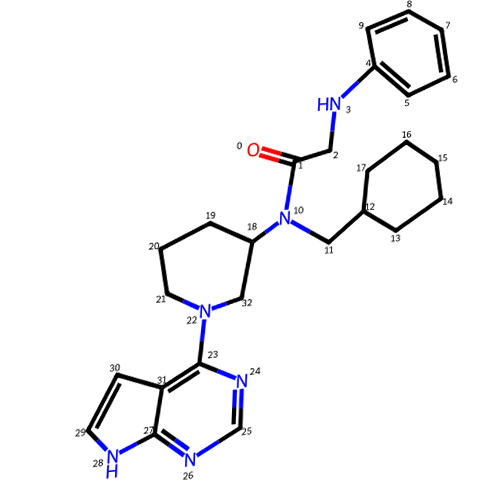 O=C(CNc1ccccc1)N(CC1CCCCC1)C1CCCN(c2ncnc3[nH]ccc23)C1